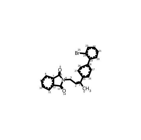 CC(=CCN1C(=O)c2ccccc2C1=O)c1ccc(-c2ccccc2Br)cc1